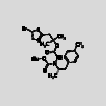 C[C@@H](Cc1ccc(C(F)(F)F)cc1)N(NC(=O)OC(C)(C)Cc1ncc(Br)s1)C(=O)OC(C)(C)C